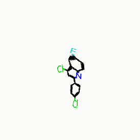 Fc1ccc2nc(-c3ccc(Cl)cc3)cc(Cl)c2c1